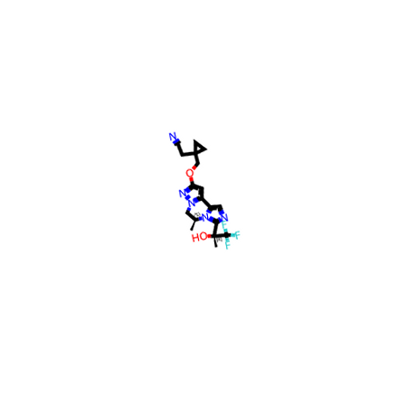 C[C@H]1Cn2nc(OCC3(CC#N)CC3)cc2-c2cnc([C@@](C)(O)C(F)(F)F)n21